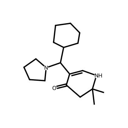 CC1(C)CC(=O)C(C(C2CCCCC2)N2CCCC2)=CN1